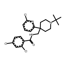 CC(C)(C)N1CCC(CNC(=O)c2ccc(Cl)cc2Cl)(c2cccc(Cl)n2)CC1